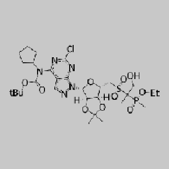 CCOP(C)(=O)C(C)(CO)S(=O)(=O)C[C@H]1O[C@@H](n2ncc3c(N(C(=O)OC(C)(C)C)C4CCCC4)nc(Cl)nc32)[C@@H]2OC(C)(C)O[C@@H]21